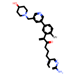 C=C(N)/N=C\C(=C/C)CCCC(=O)C(=C)c1cc(-c2cncc(CN3CCC(O)CC3)c2)ccc1CCC